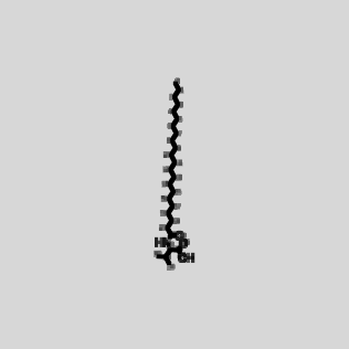 CCCCCCCCCCCCCCCCCCCCCC(=O)N[C@H](C(=O)O)C(C)C